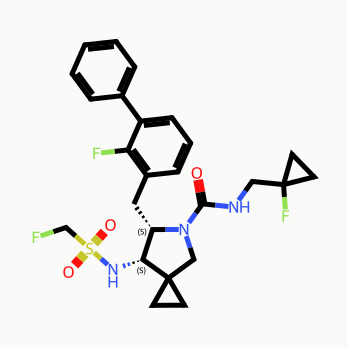 O=C(NCC1(F)CC1)N1CC2(CC2)[C@H](NS(=O)(=O)CF)[C@@H]1Cc1cccc(-c2ccccc2)c1F